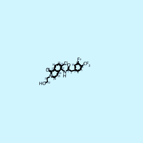 O=C(Cc1ccc(C(F)(F)F)c(F)c1)Nc1c(Cl)ccc2c(=O)n(CCO)ccc12